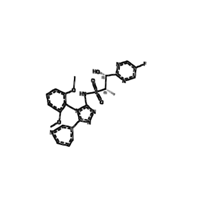 COc1cccc(OC)c1-n1c(NS(=O)(=O)[C@@H](C)[C@H](O)c2ncc(F)cn2)nnc1-c1cccnc1